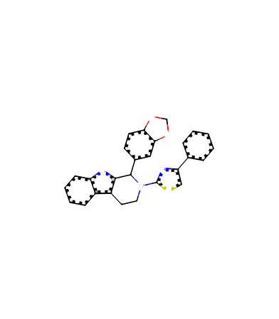 c1ccc(-c2csc(N3CCc4c([nH]c5ccccc45)C3c3ccc4c(c3)OCO4)n2)cc1